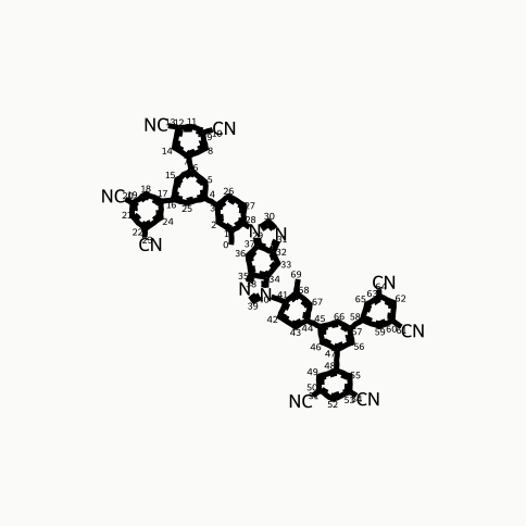 Cc1cc(-c2cc(-c3cc(C#N)cc(C#N)c3)cc(-c3cc(C#N)cc(C#N)c3)c2)ccc1-n1cnc2cc3c(cc21)ncn3-c1ccc(-c2cc(-c3cc(C#N)cc(C#N)c3)cc(-c3cc(C#N)cc(C#N)c3)c2)cc1C